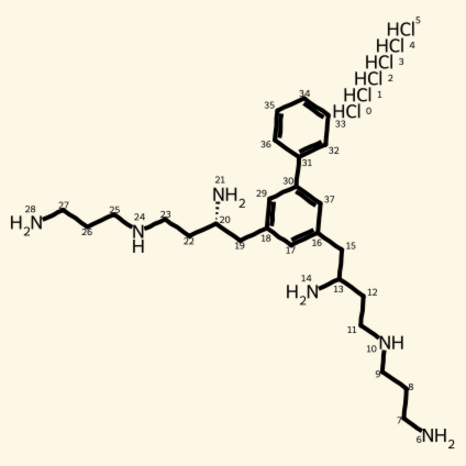 Cl.Cl.Cl.Cl.Cl.Cl.NCCCNCCC(N)Cc1cc(C[C@@H](N)CCNCCCN)cc(-c2ccccc2)c1